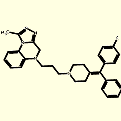 Cc1nnc2n1-c1ccccc1N(CCCN1CCC(=C(c3ccccc3)c3ccc(Cl)cc3)CC1)C2